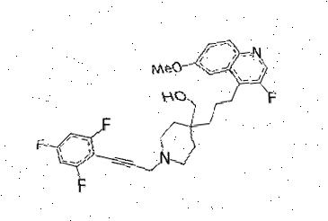 COc1ccc2ncc(F)c(CCCC3(CO)CCN(CC#Cc4c(F)cc(F)cc4F)CC3)c2c1